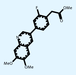 COC(=O)Cc1ccc(-c2cnc3cc(OC)c(OC)cc3c2)cc1F